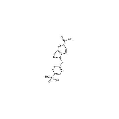 NC(=O)c1ccc2c(cnn2Cc2ccc(P(=O)(O)O)cc2)c1